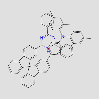 Cc1ccc(N(c2ccc(-c3ccc4c(c3)C3(c5ccccc5-4)c4ccccc4-c4ccc(C5N=C(c6ccccc6)N=C(c6ccccc6)N5)cc43)cc2)c2ccc(C)cc2C)c(C)c1